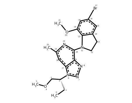 CC[C@H](COC)n1nnc2c(N3CCc4cc(Br)cc(OC)c43)nc(C)cc21